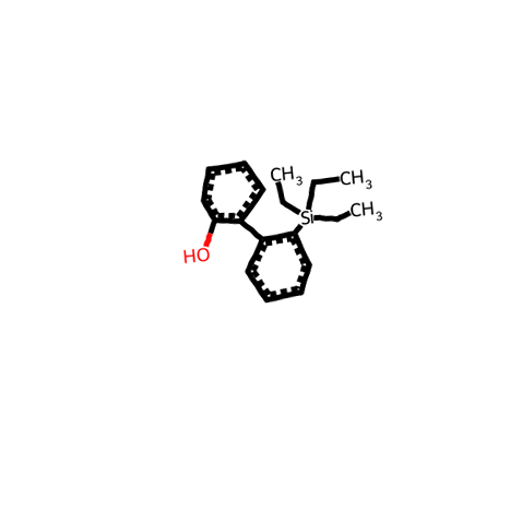 CC[Si](CC)(CC)c1ccccc1-c1ccccc1O